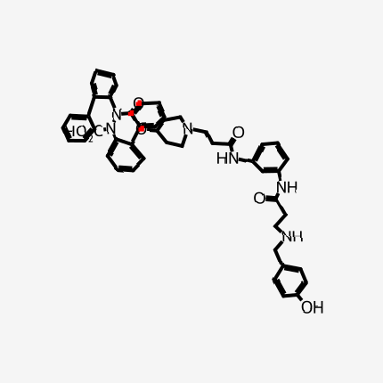 O=C(CCNCc1ccc(O)cc1)Nc1cccc(NC(=O)CCN2CCC(OC(=O)N(c3ccccc3-c3ccccc3)N(C(=O)O)c3ccccc3-c3ccccc3)CC2)c1